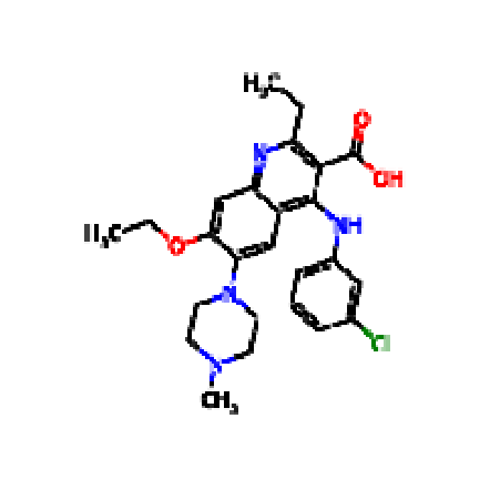 CCOc1cc2nc(CC)c(C(=O)O)c(Nc3cccc(Cl)c3)c2cc1N1CCN(C)CC1